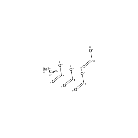 O=C[O-].O=C[O-].O=C[O-].O=C[O-].[Ba+2].[Cu+2]